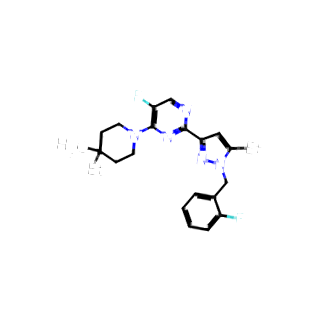 CCc1cc(-c2ncc(F)c(N3CCC(C)(CC)CC3)n2)nn1Cc1ccccc1F